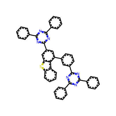 c1ccc(-c2nc(-c3ccccc3)nc(-c3cccc(-c4cc(-c5nc(-c6ccccc6)nc(-c6ccccc6)n5)cc5sc6ccccc6c45)c3)n2)cc1